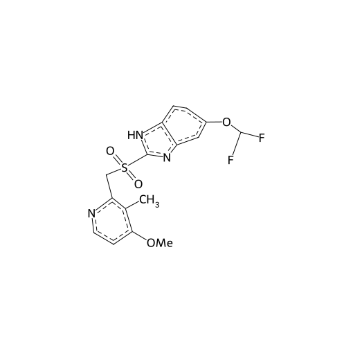 COc1ccnc(CS(=O)(=O)c2nc3cc(OC(F)F)ccc3[nH]2)c1C